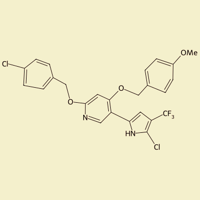 COc1ccc(COc2cc(OCc3ccc(Cl)cc3)ncc2-c2cc(C(F)(F)F)c(Cl)[nH]2)cc1